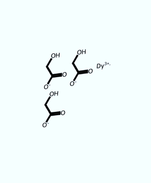 O=C([O-])CO.O=C([O-])CO.O=C([O-])CO.[Dy+3]